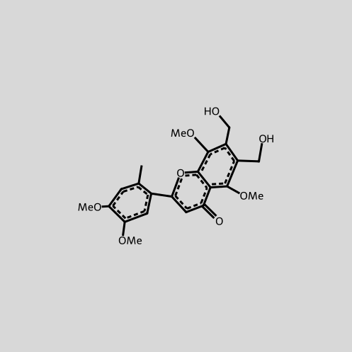 COc1cc(C)c(-c2cc(=O)c3c(OC)c(CO)c(CO)c(OC)c3o2)cc1OC